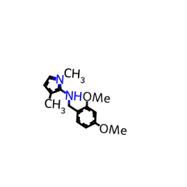 COc1ccc(CNc2c(C)ccn2C)c(OC)c1